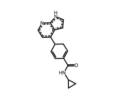 O=C(NC1CC1)C1=CCC(c2ccnc3[nH]ccc23)C=C1